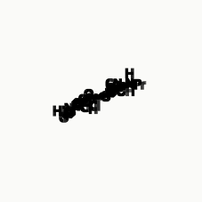 CC(C)NCCC(O)Oc1ccc(OCCCNC(=O)COc2ccc(C3=NNC(=O)CC3)cc2Cl)cc1C#N.Cl